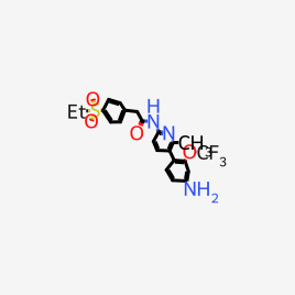 CCS(=O)(=O)c1ccc(CC(=O)Nc2ccc(-c3ccc(N)cc3OC(F)(F)F)c(C)n2)cc1